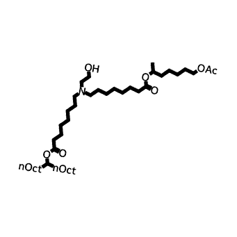 CCCCCCCCC(CCCCCCCC)OC(=O)CCCCCCCN(CCO)CCCCCCCC(=O)OC(C)CCCCCOC(C)=O